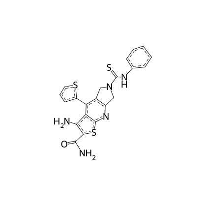 NC(=O)c1sc2nc3c(c(-c4cccs4)c2c1N)CN(C(=S)Nc1ccccc1)C3